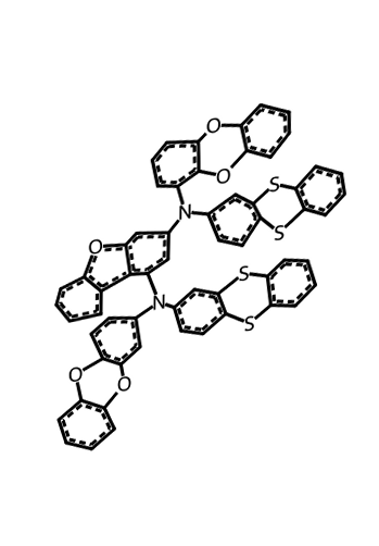 c1ccc2c(c1)Oc1ccc(N(c3ccc4c(c3)Sc3ccccc3S4)c3cc(N(c4ccc5c(c4)Sc4ccccc4S5)c4cccc5c4Oc4ccccc4O5)cc4oc5ccccc5c34)cc1O2